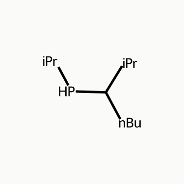 CCCCC(PC(C)C)C(C)C